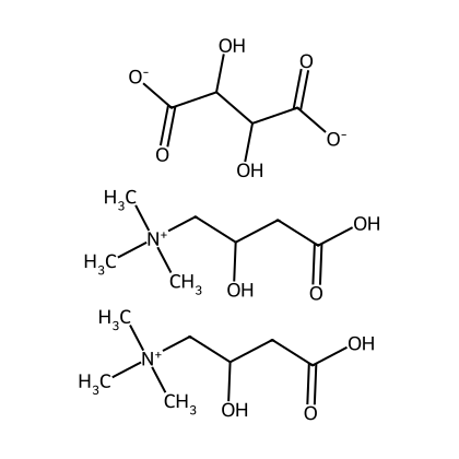 C[N+](C)(C)CC(O)CC(=O)O.C[N+](C)(C)CC(O)CC(=O)O.O=C([O-])C(O)C(O)C(=O)[O-]